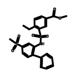 CCc1ccc(C(=O)OC)cc1S(=O)(=O)Nc1cc(S(C)(=O)=O)ccc1-c1ccccc1